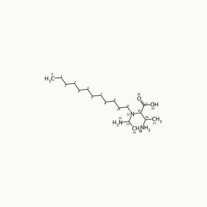 CCCCCCCCCCCCN(C(C)N)C(C(=O)O)C(C)N